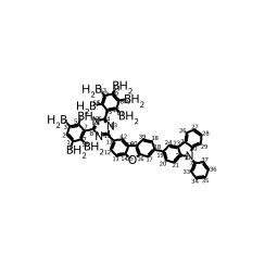 Bc1cc(B)c(B)c(-c2nc(-c3ccc4oc5cc(-c6ccc7c(c6)c6ccccc6n7-c6ccccc6)ccc5c4c3)nc(-c3c(B)c(B)c(B)c(B)c3B)n2)c1B